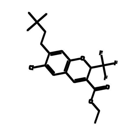 CCOC(=O)C1=Cc2cc(Cl)c(CCC(C)(C)C)cc2OC1C(F)(F)F